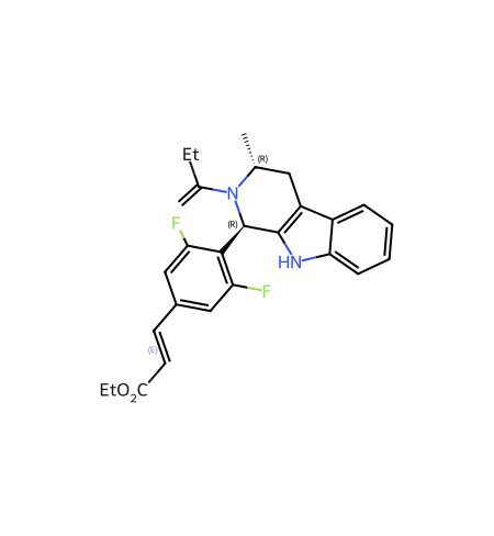 C=C(CC)N1[C@H](c2c(F)cc(/C=C/C(=O)OCC)cc2F)c2[nH]c3ccccc3c2C[C@H]1C